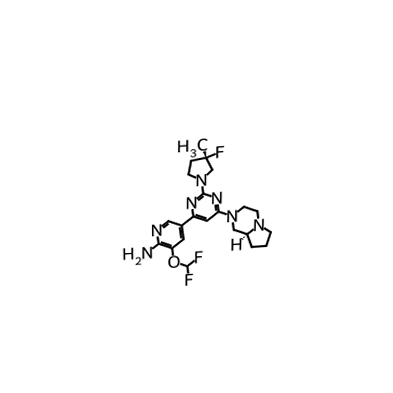 C[C@]1(F)CCN(c2nc(-c3cnc(N)c(OC(F)F)c3)cc(N3CCN4CCC[C@H]4C3)n2)C1